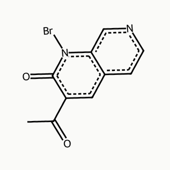 CC(=O)c1cc2ccncc2n(Br)c1=O